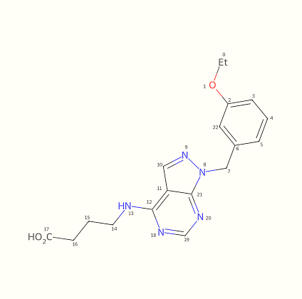 CCOc1cccc(Cn2ncc3c(NCCCC(=O)O)ncnc32)c1